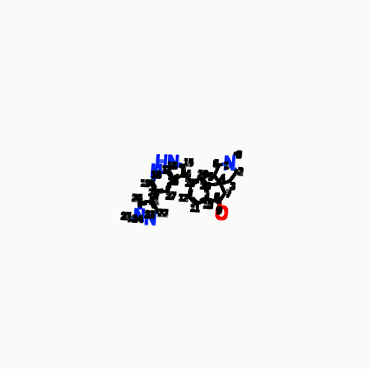 CN1CCC2(CC1)CC(=O)c1ccc(-c3c[nH]c4ncc(-c5cnn(C)c5)cc34)cc12